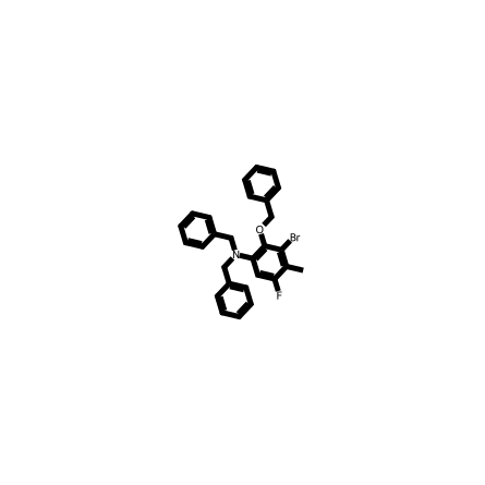 Cc1c(F)cc(N(Cc2ccccc2)Cc2ccccc2)c(OCc2ccccc2)c1Br